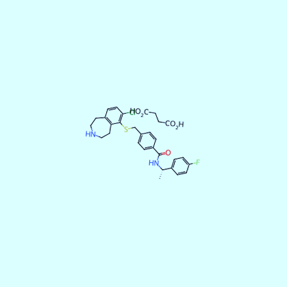 C[C@H](NC(=O)c1ccc(CSc2c(Cl)ccc3c2CCNCC3)cc1)c1ccc(F)cc1.O=C(O)CCC(=O)O